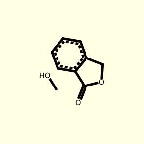 CO.O=C1OCc2ccccc21